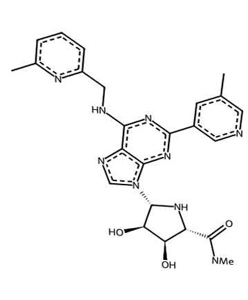 CNC(=O)[C@H]1N[C@@H](n2cnc3c(NCc4cccc(C)n4)nc(-c4cncc(C)c4)nc32)[C@H](O)[C@@H]1O